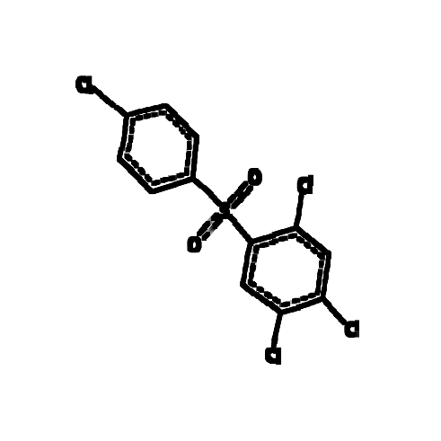 O=S(=O)(c1ccc(Cl)cc1)c1cc(Cl)c(Cl)cc1Cl